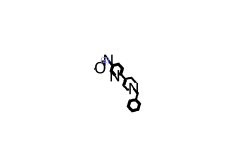 CO/C=N\c1ccc(C2=CCN(Cc3ccccc3)CC2)nc1